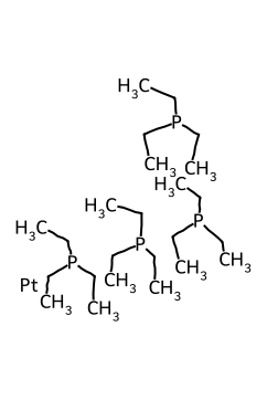 CCP(CC)CC.CCP(CC)CC.CCP(CC)CC.CCP(CC)CC.[Pt]